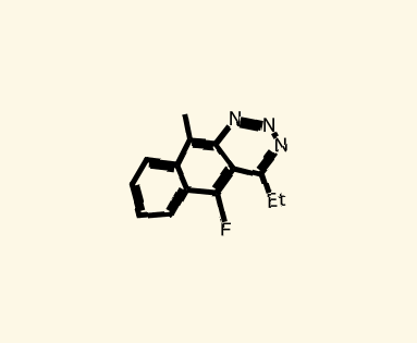 CCc1nnnc2c(C)c3ccccc3c(F)c12